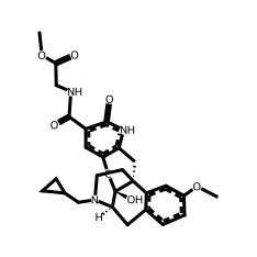 COC(=O)CNC(=O)c1cc2c([nH]c1=O)C[C@]13CCN(CC4CC4)[C@H](Cc4ccc(OC)cc41)[C@]3(O)C2